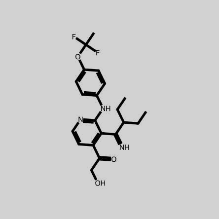 CCC(CC)C(=N)c1c(C(=O)CO)ccnc1Nc1ccc(OC(C)(F)F)cc1